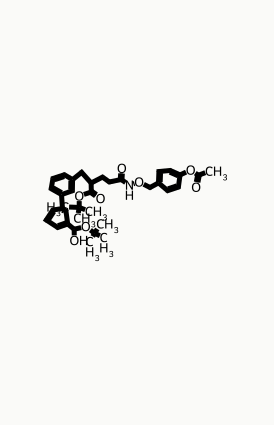 CC(=O)Oc1ccc(CONC(=O)CCC(Cc2cccc(-c3cccc(C(O)OC(C)(C)C)c3)c2)C(=O)OC(C)(C)C)cc1